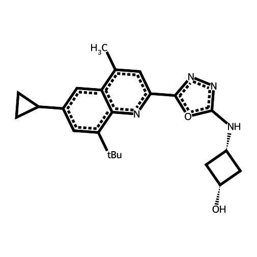 Cc1cc(-c2nnc(N[C@H]3C[C@@H](O)C3)o2)nc2c(C(C)(C)C)cc(C3CC3)cc12